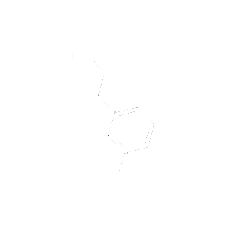 CCCc1cccc(I)c1